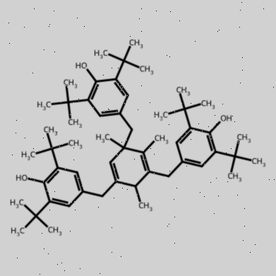 CC1=C(Cc2cc(C(C)(C)C)c(O)c(C(C)(C)C)c2)C(C)C(Cc2cc(C(C)(C)C)c(O)c(C(C)(C)C)c2)=CC1(C)Cc1cc(C(C)(C)C)c(O)c(C(C)(C)C)c1